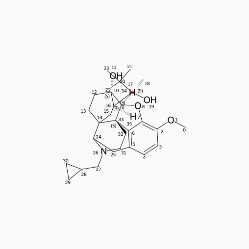 COc1ccc2c3c1O[C@@H]1[C@]4(O)CCC5(C[C@@H]4[C@](C)(O)C(C)(C)C)C(C2)N(CC2CC2)CC[C@]315